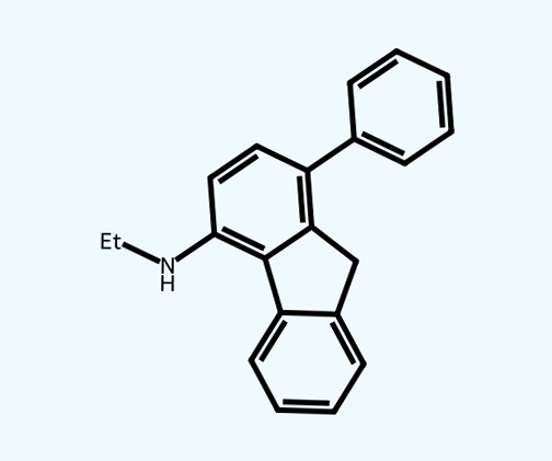 CCNc1ccc(-c2ccccc2)c2c1-c1ccccc1C2